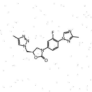 Cc1cn(C[C@H]2CN(c3ccc(-n4cnc(C)n4)c(F)c3)C(=O)O2)nn1